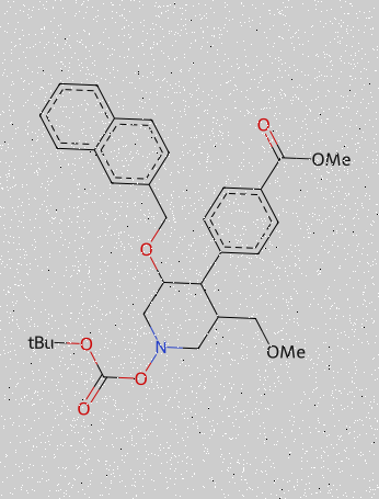 COCC1CN(OC(=O)OC(C)(C)C)CC(OCc2ccc3ccccc3c2)C1c1ccc(C(=O)OC)cc1